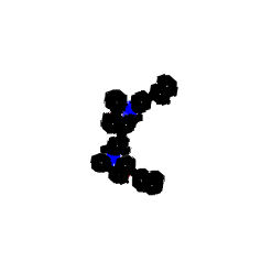 Cc1cc(-c2cc(C)c(N(c3ccc(-c4ccc5ccccc5c4)cc3)c3ccccc3-c3ccccc3)c(C)c2)cc(C)c1N(c1ccc(-c2ccc3ccccc3c2)cc1)c1ccccc1-c1ccccc1